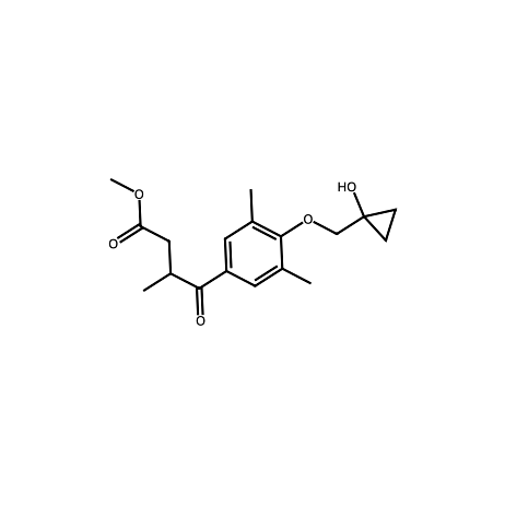 COC(=O)CC(C)C(=O)c1cc(C)c(OCC2(O)CC2)c(C)c1